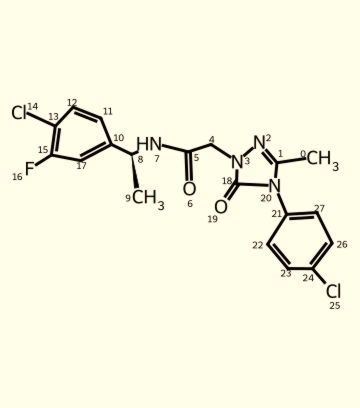 Cc1nn(CC(=O)N[C@@H](C)c2ccc(Cl)c(F)c2)c(=O)n1-c1ccc(Cl)cc1